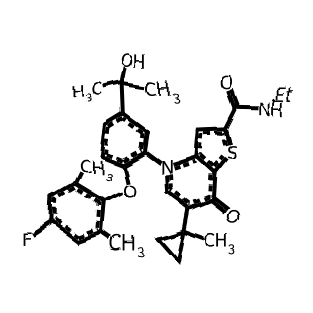 CCNC(=O)c1cc2c(s1)c(=O)c(C1(C)CC1)cn2-c1cc(C(C)(C)O)ccc1Oc1c(C)cc(F)cc1C